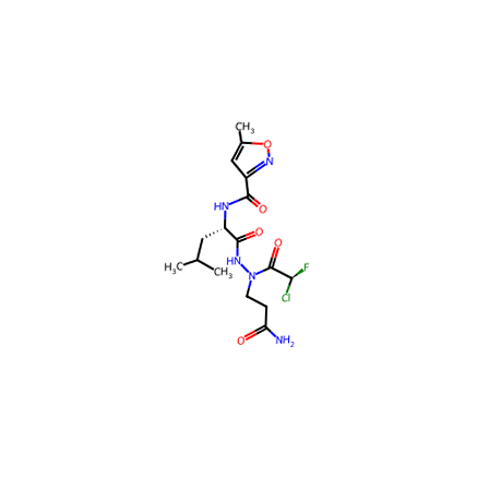 Cc1cc(C(=O)N[C@@H](CC(C)C)C(=O)NN(CCC(N)=O)C(=O)[C@@H](F)Cl)no1